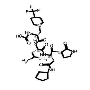 CC(C)C[C@H](NC(=O)[C@H](CN1CCC(C(F)(F)F)CC1)NC(=O)O)C(=O)N[C@@H](CC(=O)NC1CCCC1)C(=O)[C@@H]1CCNC1=O